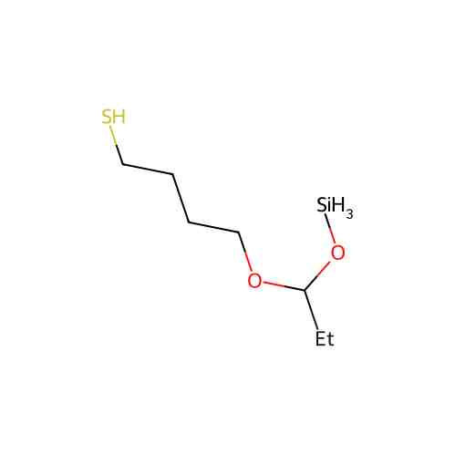 CCC(O[SiH3])OCCCCS